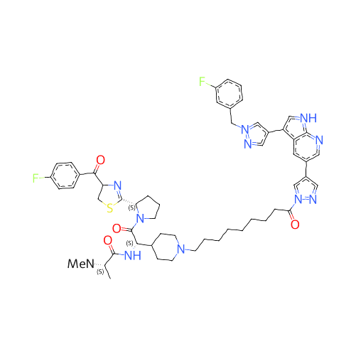 CN[C@@H](C)C(=O)N[C@H](C(=O)N1CCC[C@H]1C1=NC(C(=O)c2ccc(F)cc2)CS1)C1CCN(CCCCCCCCC(=O)n2cc(-c3cnc4[nH]cc(-c5cnn(Cc6cccc(F)c6)c5)c4c3)cn2)CC1